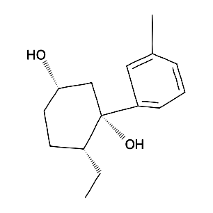 CC[C@@H]1CC[C@H](O)C[C@@]1(O)c1cccc(C)c1